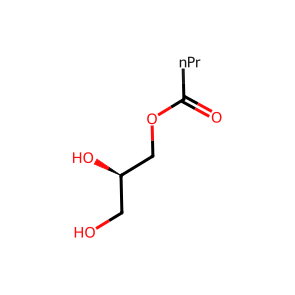 CCCC(=O)OC[C@H](O)CO